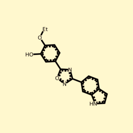 CCOc1ccc(-c2nc(-c3ccc4cc[nH]c4c3)no2)cc1O